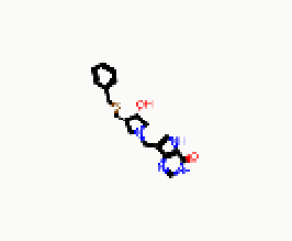 O=c1[nH]cnc2c(CN3C[C@@H](CSCc4ccccc4)[C@H](O)C3)c[nH]c12